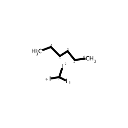 CCCCCC.IC(I)I